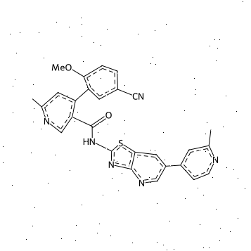 COc1ccc(C#N)cc1-c1cc(C)ncc1C(=O)Nc1nc2ncc(-c3ccnc(C)c3)cc2s1